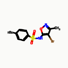 CCCCc1ccc(S(=O)(=O)Nc2onc(C)c2Br)cc1